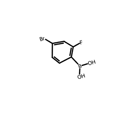 OB(O)c1ccc(Br)cc1F